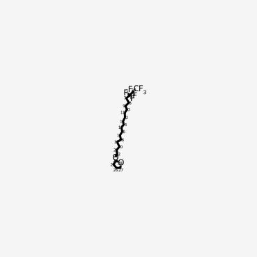 FC(F)(F)C(F)(F)C(F)(F)CCCCCCCCCCCCCCCCOC1CCCO1